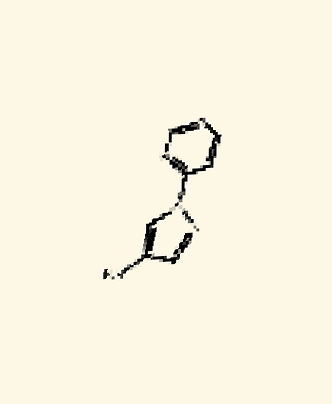 Nc1cnn(-c2ccncn2)c1